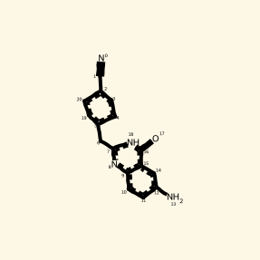 N#Cc1ccc(Cc2nc3ccc(N)cc3c(=O)[nH]2)cc1